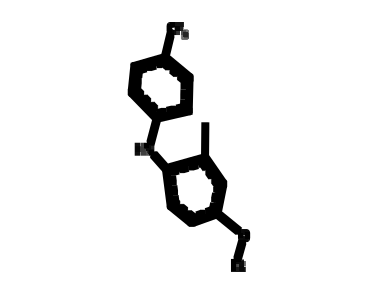 CCOc1ccc(Nc2ccc(C(F)(F)F)cc2)c(C)c1